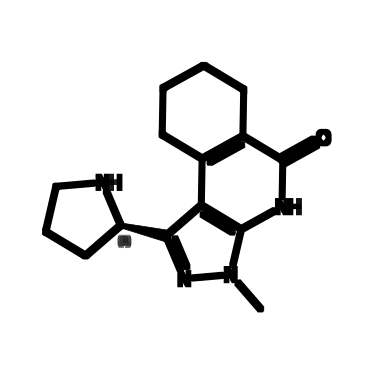 Cn1nc([C@H]2CCCN2)c2c3c(c(=O)[nH]c21)CCCC3